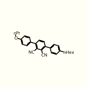 CCCCCCc1ccc(-c2ccc(-c3ccc(OCCC)cc3)c(C#N)c2C#N)cc1